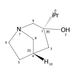 CC(C)[C@]1(O)C[C@@H]2CCN(C2)C1